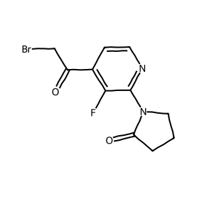 O=C(CBr)c1ccnc(N2CCCC2=O)c1F